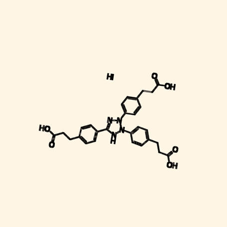 I.O=C(O)CCc1ccc(C2=NN(c3ccc(CCC(=O)O)cc3)N(c3ccc(CCC(=O)O)cc3)N2)cc1